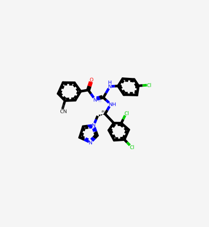 N#Cc1cccc(C(=O)/N=C(\Nc2ccc(Cl)cc2)N[C@@H](Cn2ccnc2)c2ccc(Cl)cc2Cl)c1